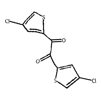 O=C(C(=O)c1cc(Cl)cs1)c1cc(Cl)cs1